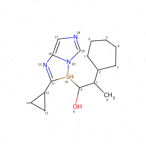 CC(C1CCCCC1)C(O)[SH]1C(C2CC2)=Nc2cncn21